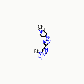 CCNc1cc(-c2cnc(N(C)C3CCN(CC(F)(F)F)CC3)nc2)ncn1